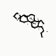 C[C@H](CBr)[C@H]1CC[C@H]2[C@@H]3CCC4=CC5(CC[C@]4(C)[C@H]3CC[C@]12C)OCCO5